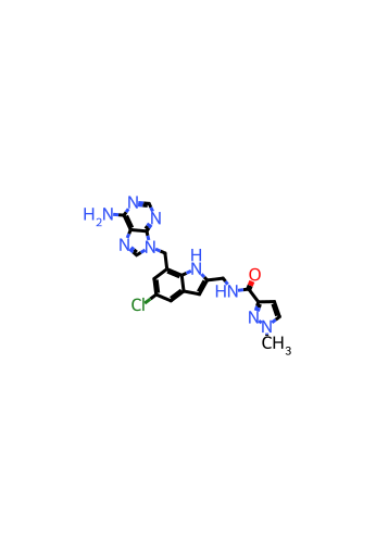 Cn1ccc(C(=O)NCc2cc3cc(Cl)cc(Cn4cnc5c(N)ncnc54)c3[nH]2)n1